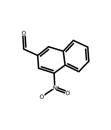 O=Cc1cc([N+](=O)[O-])c2ccccc2c1